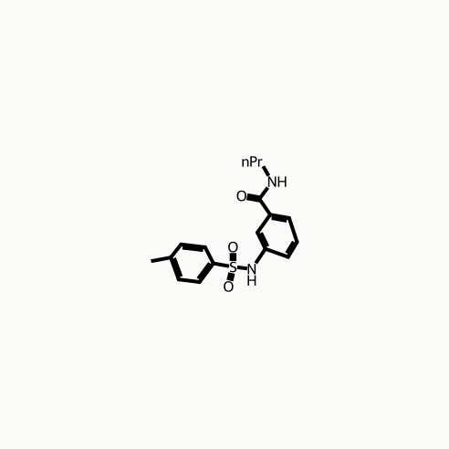 CCCNC(=O)c1cccc(NS(=O)(=O)c2ccc(C)cc2)c1